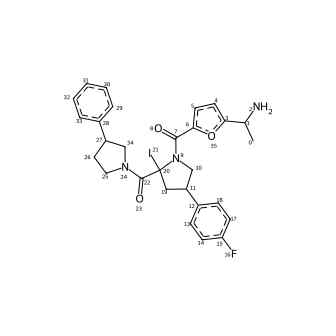 CC(N)c1ccc(C(=O)N2CC(c3ccc(F)cc3)CC2(I)C(=O)N2CCC(c3ccccc3)C2)o1